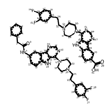 O=C(Cc1ccccc1)Nc1ccc2[nH]c3c(N4CCN(CCc5ccc(F)c(F)c5)CC4)ncnc3c2c1.O=C(O)c1ccc2[nH]c3c(N4CCN(CCc5ccc(F)c(F)c5)CC4)ncnc3c2c1